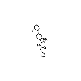 O=C(Cc1cccs1)Nc1n[nH]c2cc(-c3ccccc3F)ccc12